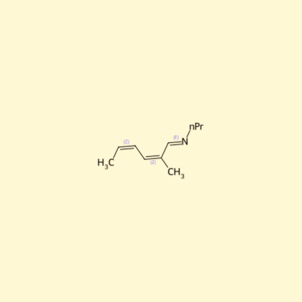 C\C=C/C=C(C)\C=N\CCC